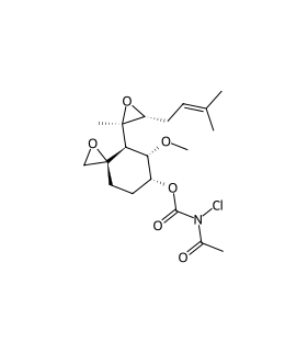 CO[C@@H]1[C@H](OC(=O)N(Cl)C(C)=O)CC[C@]2(CO2)[C@H]1[C@@]1(C)O[C@@H]1CC=C(C)C